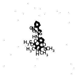 COC(=O)C1=C(C)NC(C)=C(C(=O)OC)C1c1cccc(Nc2nc(-c3ccccc3[N+](=O)[O-])cs2)c1